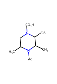 CC(=O)N1C(C)CN(C(=O)O)C(C(C)(C)C)C1C